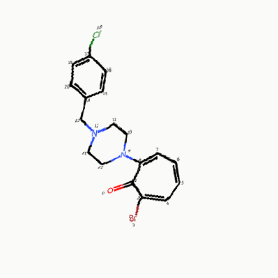 O=c1c(Br)ccccc1N1CCN(Cc2ccc(Cl)cc2)CC1